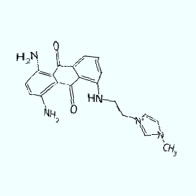 Cn1cc[n+](CCNc2cccc3c2C(=O)c2c(N)ccc(N)c2C3=O)c1